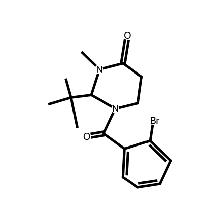 CN1C(=O)CCN(C(=O)c2ccccc2Br)C1C(C)(C)C